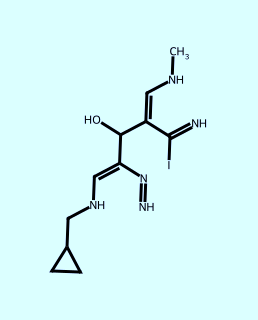 CN/C=C(\C(=N)I)C(O)/C(=C/NCC1CC1)N=N